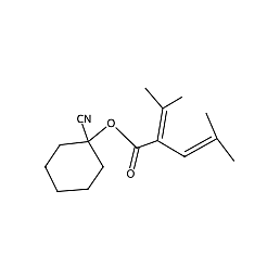 CC(C)=CC(C(=O)OC1(C#N)CCCCC1)=C(C)C